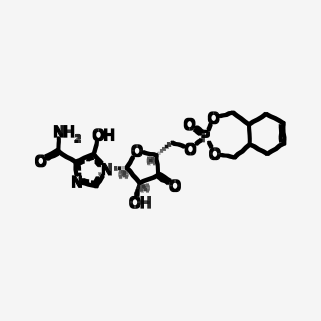 NC(=O)c1ncn([C@@H]2O[C@H](COP3(=O)OCC4CC=CCC4CO3)C(=O)[C@H]2O)c1O